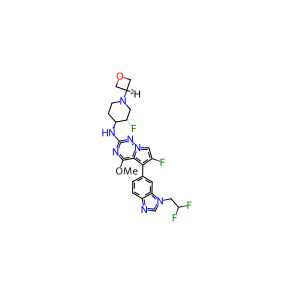 [2H]C1(N2CC[C@H](Nc3nc(OC)c4c(-c5ccc6ncn(CC(F)F)c6c5)c(F)cn4n3)[C@@H](F)C2)COC1